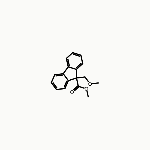 COCC1(C(=O)OC)c2ccccc2-c2ccccc21